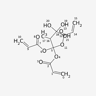 C=CC(=O)OC(OC(=O)C=C)(OC(=O)C=C)C(C)C(O)(O)O